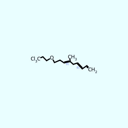 C=C/C=C/C/C(C)=C/CCOCCC(Cl)(Cl)Cl